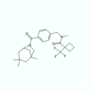 CN(Cc1ccc(C(=O)N2CC3(C)CC2CC(C)(C)C3)cc1)C(=O)C1(C(F)(F)F)CCC1